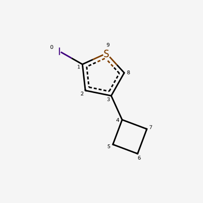 Ic1cc(C2CCC2)cs1